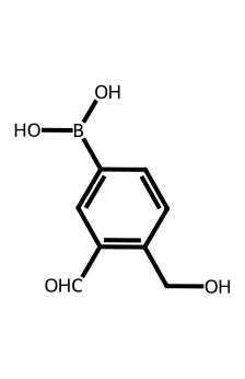 O=Cc1cc(B(O)O)ccc1CO